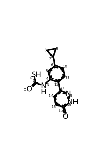 O=C(S)Nc1cc(C2CC2)ccc1-c1ccc(=O)[nH]n1